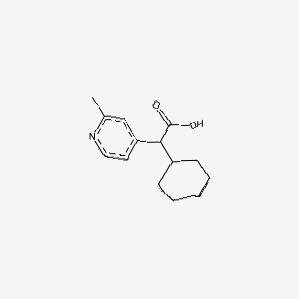 Cc1cc(C(C(=O)O)C2CCCCC2)ccn1